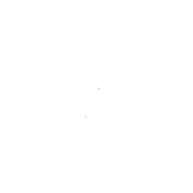 CCOC(=O)C(C)(C)c1ncc(O)cn1